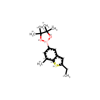 CCc1cc2cc(B3OC(C)(C)C(C)(C)O3)cc(C)c2s1